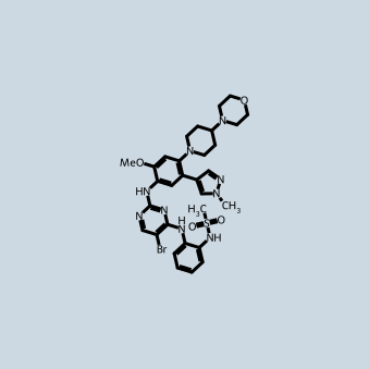 COc1cc(N2CCC(N3CCOCC3)CC2)c(-c2cnn(C)c2)cc1Nc1ncc(Br)c(Nc2ccccc2NS(C)(=O)=O)n1